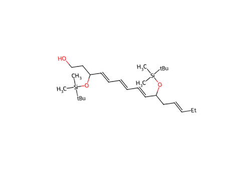 CCC=CCC(C=CC=CC=CC(CCO)O[Si](C)(C)C(C)(C)C)O[Si](C)(C)C(C)(C)C